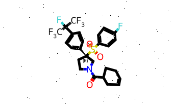 O=C(C1CC=CCC1)N1CC[C@](c2ccc(C(F)(C(F)(F)F)C(F)(F)F)cc2)(S(=O)(=O)c2ccc(F)cc2)C1